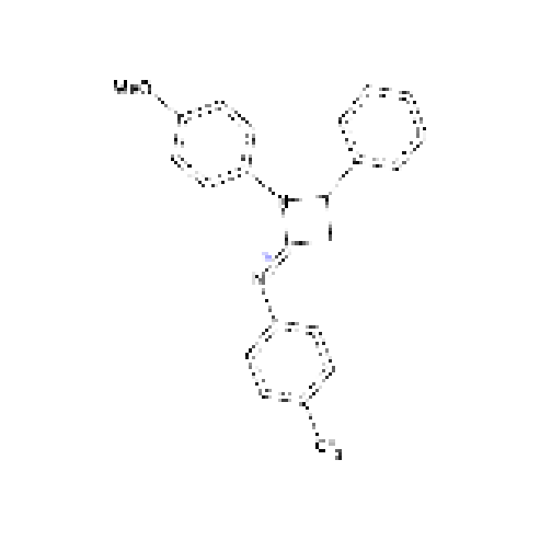 COc1ccc(N2/C(=N/c3ccc(C(F)(F)F)cc3)CC2c2ccccc2)cc1